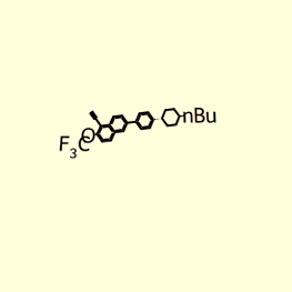 C#Cc1c(OC(F)(F)F)ccc2cc(-c3ccc([C@H]4CC[C@H](CCCC)CC4)cc3)ccc12